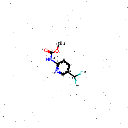 CC(C)(C)OC(=O)Nc1ccc(C(F)F)cn1